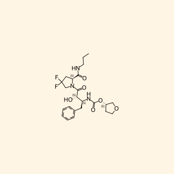 CCCNC(=O)[C@@H]1CC(F)(F)CN1C(=O)[C@@H](O)[C@H](Cc1ccccc1)NC(=O)O[C@H]1CCOC1